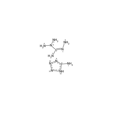 NN=C(N)N(N)N.Nc1nnn[nH]1